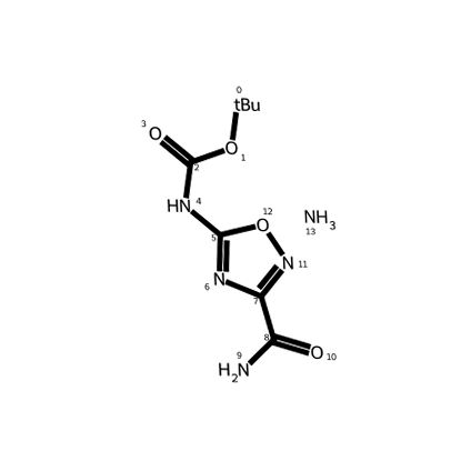 CC(C)(C)OC(=O)Nc1nc(C(N)=O)no1.N